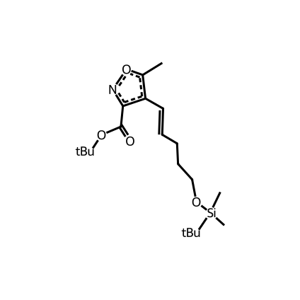 Cc1onc(C(=O)OC(C)(C)C)c1/C=C/CCCO[Si](C)(C)C(C)(C)C